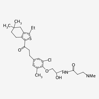 CCc1sc(C(=O)CCc2cc(C)c(OCC(O)CNC(=O)CCNC)c(Cl)c2)c2c1CC(C)(C)CC2